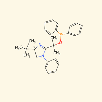 CC(C)(OP(c1ccccc1)c1ccccc1)C1=N[C@@H](C(C)(C)C)CN1c1ccccc1